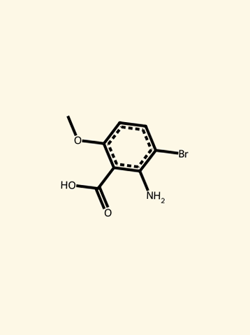 COc1ccc(Br)c(N)c1C(=O)O